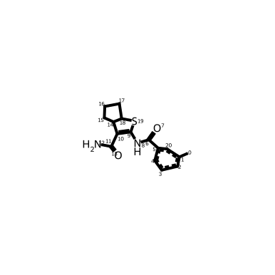 Cc1cccc(C(=O)NC2=C(C(N)=O)C3CCCC3S2)c1